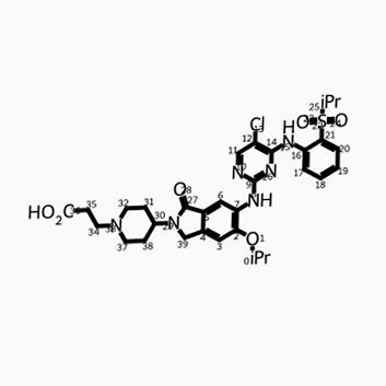 CC(C)Oc1cc2c(cc1Nc1ncc(Cl)c(Nc3ccccc3S(=O)(=O)C(C)C)n1)C(=O)N(C1CCN(CCC(=O)O)CC1)C2